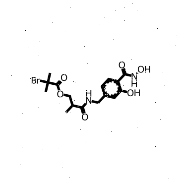 CC(COC(=O)C(C)(C)Br)C(=O)NCc1ccc(C(=O)NO)c(O)c1